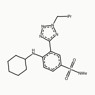 CNS(=O)(=O)c1ccc(NC2CCCCC2)c(-c2nnn(CC(C)C)n2)c1